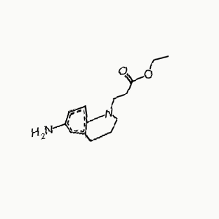 CCOC(=O)CCN1CCCc2cc(N)ccc21